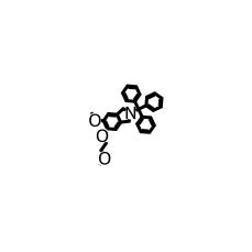 COCCOc1cc2c(cc1OC)CN(C(c1ccccc1)(c1ccccc1)c1ccccc1)C2